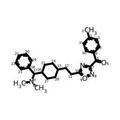 Cc1ccc(C(=O)c2noc(CCC3CCC(C(c4ccccc4)N(C)C)CC3)n2)cc1